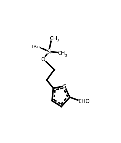 CC(C)(C)[Si](C)(C)OCCc1ccc(C=O)s1